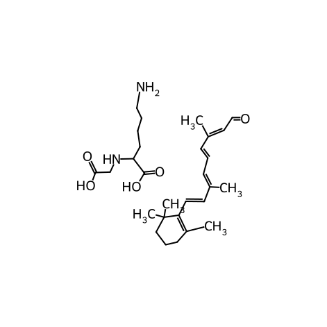 CC(C=CC=C(C)C=CC1=C(C)CCCC1(C)C)=CC=O.NCCCCC(NCC(=O)O)C(=O)O